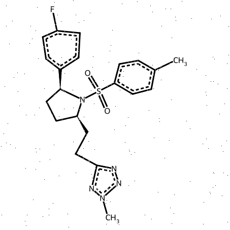 Cc1ccc(S(=O)(=O)N2[C@@H](CCc3nnn(C)n3)CC[C@H]2c2ccc(F)cc2)cc1